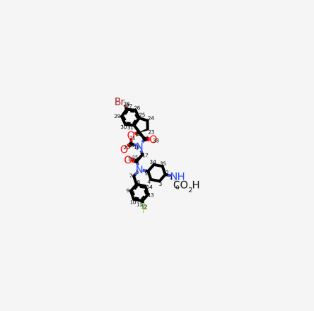 O=C(O)NC1CCC(N(Cc2ccc(F)cc2)C(=O)CN2C(=O)O[C@@]3(CCc4cc(Br)ccc43)C2=O)CC1